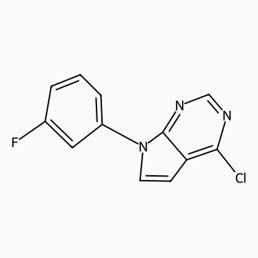 Fc1cccc(-n2ccc3c(Cl)ncnc32)c1